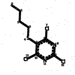 CCCCSc1c(Cl)nc(Cl)nc1Cl